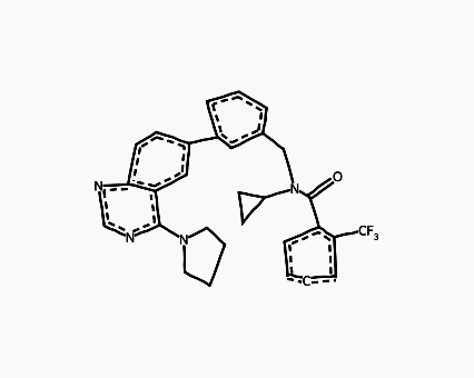 O=C(c1ccccc1C(F)(F)F)N(Cc1cccc(-c2ccc3ncnc(N4CCCC4)c3c2)c1)C1CC1